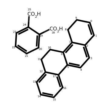 C1=Cc2ccc3c(c2CC1)CCc1ccccc1-3.O=C(O)c1ccccc1C(=O)O